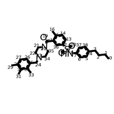 CCCCc1ccc(NS(=O)(=O)c2ccc(C)c(C(=O)N3CCN(Cc4ccc(C)c(C)c4C)CC3)c2)cc1